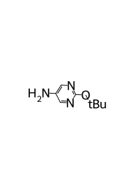 CC(C)(C)Oc1ncc(N)cn1